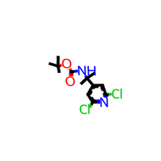 CC(C)(C)OC(=O)NC(C)(C)c1cc(Cl)nc(Cl)c1